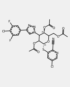 CC(=O)OCC1O[C@H](Sc2cc(Cl)cnc2C#N)C(OC(C)=O)C(n2cc(-c3cc(F)c(Cl)c(F)c3)nn2)[C@H]1OC(C)=O